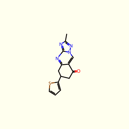 Cc1nc2nc3c(cn2n1)C(=O)CC(c1cccs1)C3